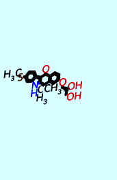 CSc1ccc2c3c([nH]c2c1)C(C)(C)c1cc(OC[C@@H](O)CO)ccc1C3=O